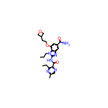 CCCn1c(NC(=O)c2ncc(C)nc2CC)nc2cc(C(N)=O)cc(OCCC3COC3)c21